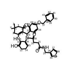 CC1(C)CC(=O)C2=C(C1)NC1=C(O)CCC=C1N(C(=O)CCC(=O)NCc1ccsc1)C2c1ccc(OCc2ccccc2)cc1Cl